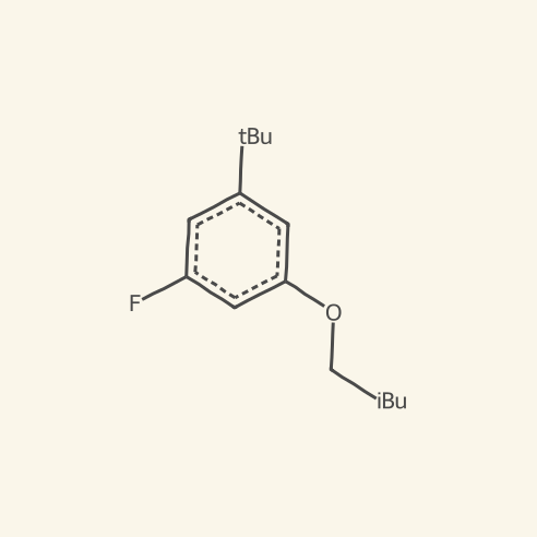 CCC(C)COc1cc(F)cc(C(C)(C)C)c1